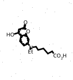 CCN(CCCCCC(=O)O)c1ccc2c(O)cc(=O)oc2c1